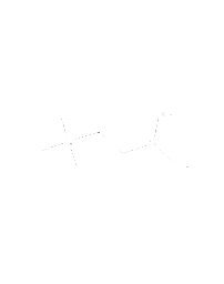 CCCCN(CCCC)CC[Si](CC)(CC)CC